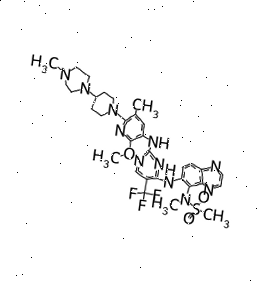 COc1nc(N2CCC(N3CCN(C)CC3)CC2)c(C)cc1Nc1ncc(C(F)(F)F)c(Nc2ccc3nccnc3c2N(C)S(C)(=O)=O)n1